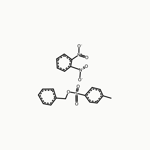 Cc1ccc(S(=O)(=O)OCc2ccccc2)cc1.O=[N+]([O-])c1ccccc1[N+](=O)[O-]